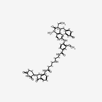 CC[C@@H]1C(=O)N(C)c2cnc(Nc3ccc(C(=O)NCCNCCCC(=O)Nc4cccc5c4CN(C4CCC(=O)NC4=O)C5=O)cc3OC)nc2N1Cc1ccc(Br)cc1